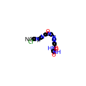 C[C@H]1CC2(CCN(c3ccc(C(=O)N4CCC(CN5CCN(c6ccc(C(=O)N[C@@H]7CCC(=O)NC7=O)cc6)CC5)CC4)cc3)CC2)CN1c1ccc(C#N)c(Cl)c1